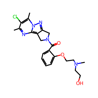 Cc1nc2c3c(nn2c(C)c1Cl)CN(C(=O)c1ccccc1OCCN(C)CCO)C3